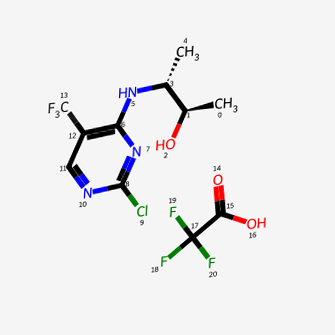 C[C@@H](O)[C@@H](C)Nc1nc(Cl)ncc1C(F)(F)F.O=C(O)C(F)(F)F